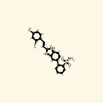 NS(=O)(=O)c1ccccc1-c1ccc2[nH]c(/C=C/c3ccc(F)cc3F)nc2c1